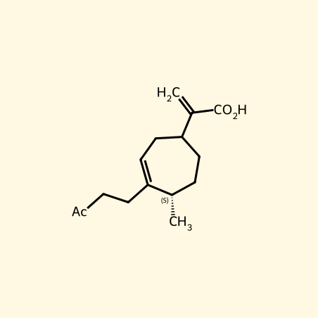 C=C(C(=O)O)C1CC=C(CCC(C)=O)[C@@H](C)CC1